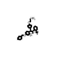 CCC(=C(c1ccc(OCCN)cc1)c1ccc(OCc2ccccc2)cc1)c1ccccc1C(F)(F)F